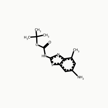 Cc1cc(N)cc2sc(NC(=O)OC(C)(C)C)nc12